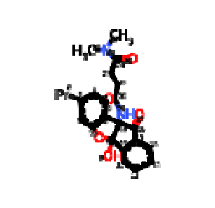 CC(C)c1ccc2c(c1)OC1(O)c3ccccc3C(=O)C21NC(=O)CCC(=O)N(C)C